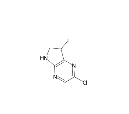 Clc1cnc2c(n1)C(I)CN2